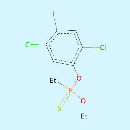 CCOP(=S)(CC)Oc1cc(Cl)c(I)cc1Cl